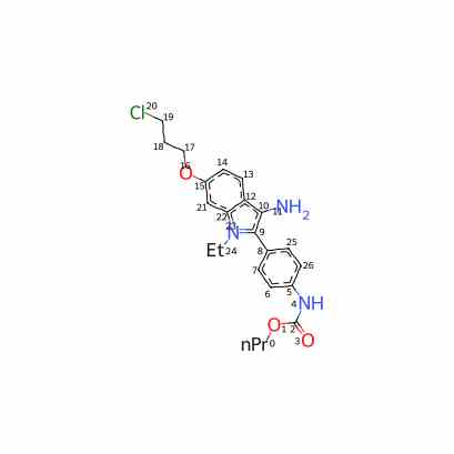 CCCOC(=O)Nc1ccc(-c2c(N)c3ccc(OCCCCl)cc3n2CC)cc1